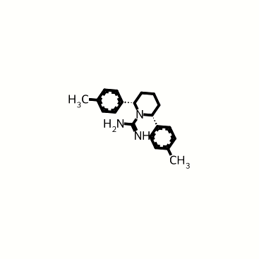 Cc1ccc([C@H]2CCC[C@@H](c3ccc(C)cc3)N2C(=N)N)cc1